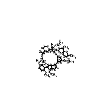 CCc1ccncc1-c1c2c3cc(ccc3n1CC)-c1cc(O)cc(c1)C[C@H](NC(=O)[C@H](C(C)C)N(C)C(=O)CN(C)C(=O)[C@H]1CN1)C(=O)N1CCC[C@H](N1)C(=O)OCC(C)(C)C2